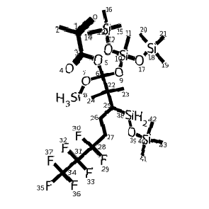 C=C(C)C(=O)OC(O[SiH3])(O[Si](C)(O[Si](C)(C)C)O[Si](C)(C)C)C(C)(C)C(CCC(F)(F)C(F)(F)C(F)(F)F)[SiH2]O[Si](C)(C)C